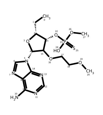 CC[C@H]1O[C@@H](n2cnc3c(N)ncnc32)C(OCCOC)[C@H]1OP(O)(=S)OC